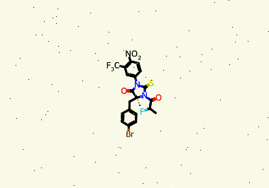 CC(F)C(=O)N1C(=S)N(c2ccc([N+](=O)[O-])c(C(F)(F)F)c2)C(=O)[C@]1(C)Cc1ccc(Br)cc1